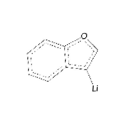 [Li][c]1coc2ccccc12